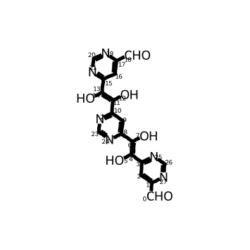 O=Cc1cc(/C(O)=C(\O)c2cc(/C(O)=C(\O)c3cc(C=O)ncn3)ncn2)ncn1